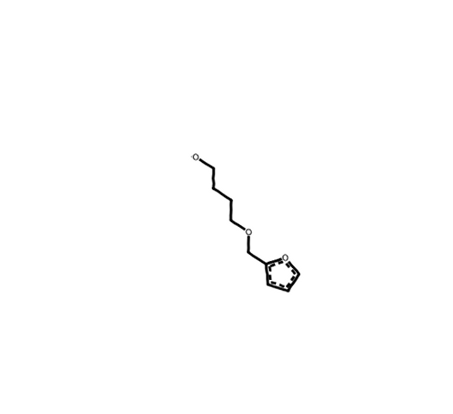 [O]CCCCOCc1ccco1